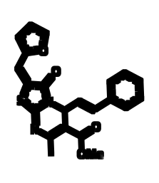 COC(=O)C1=C(C)N=c2s/c(=C/c3ccco3)c(=O)n2C1/C=C/c1ccccc1